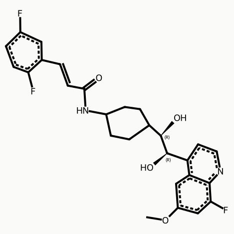 COc1cc(F)c2nccc([C@@H](O)[C@H](O)C3CCC(NC(=O)C=Cc4cc(F)ccc4F)CC3)c2c1